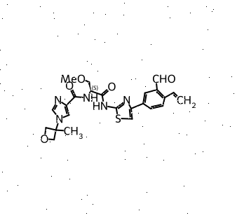 C=Cc1ccc(-c2csc(NC(=O)[C@H](COC)NC(=O)c3cn(C4(C)COC4)cn3)n2)cc1C=O